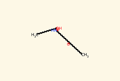 CCCCCCCCCCCCCCCC[C@H](CO)NC(=O)CCCCCCCCCCCCCCC(=O)CCCCCCCCCCCCCCC